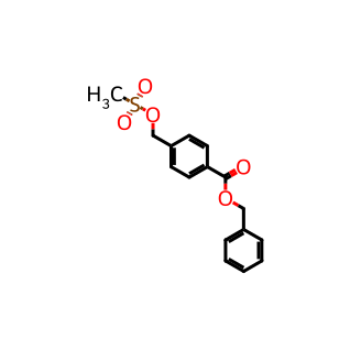 CS(=O)(=O)OCc1ccc(C(=O)OCc2ccccc2)cc1